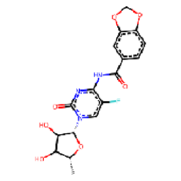 C[C@H]1O[C@@H](n2cc(F)c(NC(=O)c3ccc4c(c3)OCO4)nc2=O)C(O)C1O